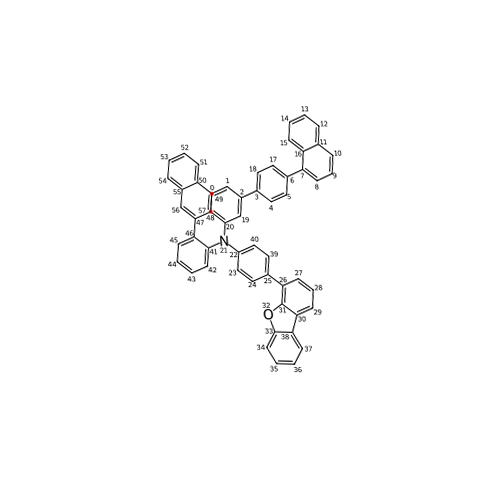 c1cc(-c2ccc(-c3cccc4ccccc34)cc2)cc(N(c2ccc(-c3cccc4c3oc3ccccc34)cc2)c2ccccc2-c2ccc3ccccc3c2)c1